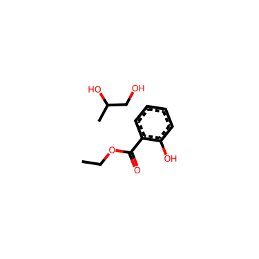 CC(O)CO.CCOC(=O)c1ccccc1O